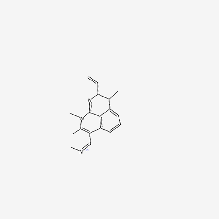 C=CC1N=C2c3c(cccc3C1C)C(/C=N\C)=C(C)N2C